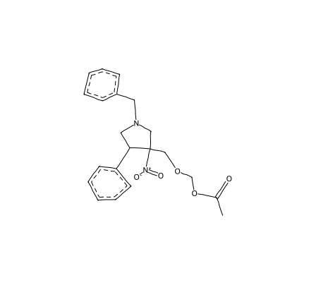 CC(=O)OCOCC1([N+](=O)[O-])CN(Cc2ccccc2)CC1c1ccccc1